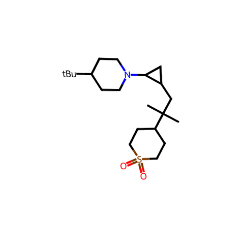 CC(C)(C)C1CCN(C2CC2CC(C)(C)C2CCS(=O)(=O)CC2)CC1